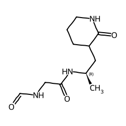 C[C@H](CC1CCCNC1=O)NC(=O)CNC=O